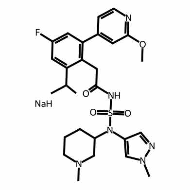 COc1cc(-c2cc(F)cc(C(C)C)c2CC(=O)NS(=O)(=O)N(c2cnn(C)c2)C2CCCN(C)C2)ccn1.[NaH]